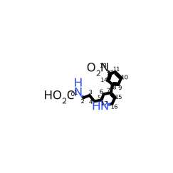 O=C(O)NCCCC1CC(c2cccc([N+](=O)[O-])c2)=CCN1